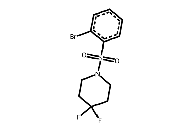 O=S(=O)(c1ccccc1Br)N1CCC(F)(F)CC1